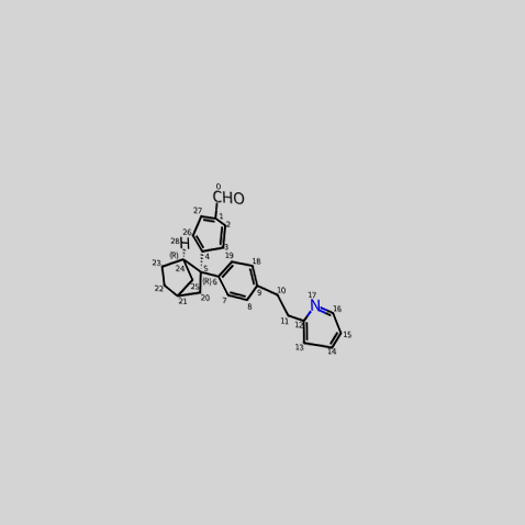 O=Cc1ccc([C@]2(c3ccc(CCc4ccccn4)cc3)CC3CC[C@@H]2C3)cc1